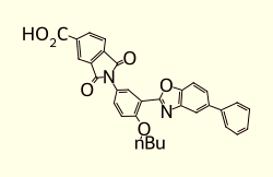 CCCCOc1ccc(N2C(=O)c3ccc(C(=O)O)cc3C2=O)cc1-c1nc2cc(-c3ccccc3)ccc2o1